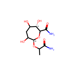 CC(O[C@@H]1OC(C(N)=O)[C@@H](O)C(O)CC1O)C(N)=O